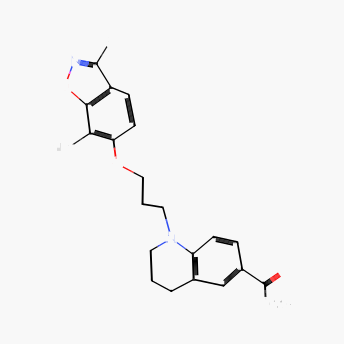 CCCc1c(OCCCN2CCCc3cc(C(=O)OC)ccc32)ccc2c(C(F)(F)F)noc12